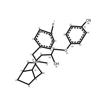 CN(Cc1ccc(F)cc1)C1C2CCC1CN(CC(O)COc1ccc(C#N)cc1)C2